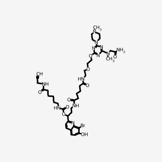 C#CCNC(=O)CCCCCNC(=O)OC(CCNC(=O)CCCCC(=O)NCCOCCOc1nc(N(C)CC(N)=O)nc(N2CCN(C)CC2)n1)c1ccc2ccc(O)c(Br)c2n1